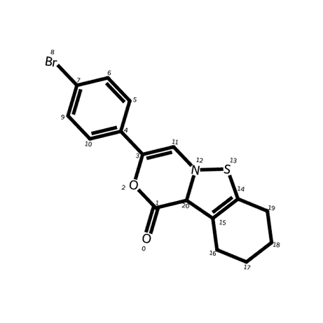 O=C1OC(c2ccc(Br)cc2)=CN2SC3=C(CCCC3)C12